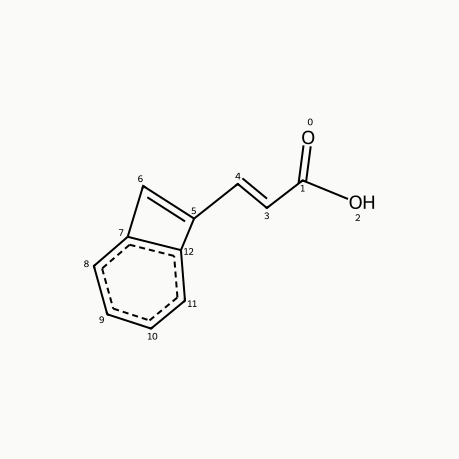 O=C(O)C=CC1=Cc2ccccc21